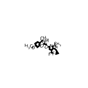 COc1ccc(C(C)NC(=O)COc2cc(C(F)F)c3c(C4CC4)nn(C)c3n2)cc1